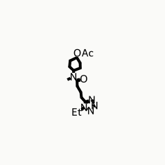 CCn1nnnc1CCCC(=O)N(C)C1CCC(OC(C)=O)CC1